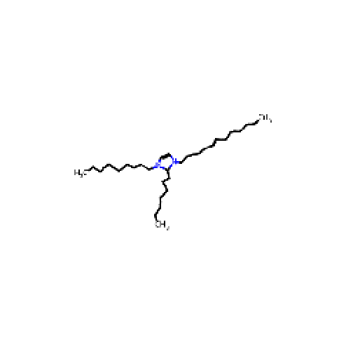 CCCCCCCCCCCCN1C=CN(CCCCCCCCC)C1CCCCCCC